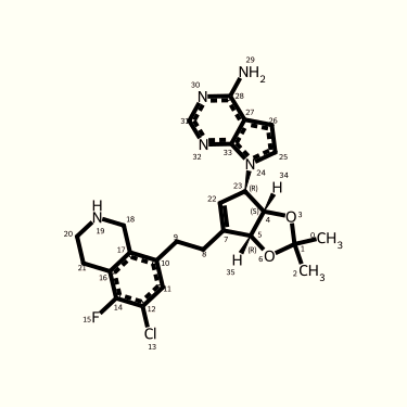 CC1(C)O[C@@H]2[C@H](O1)C(CCc1cc(Cl)c(F)c3c1CNCC3)=C[C@H]2n1ccc2c(N)ncnc21